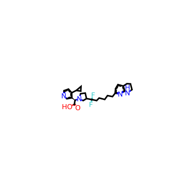 O=C(O)[C@@H](c1cnccc1C1CC1)N1CCC(C(F)(F)CCCCCc2ccc3c(n2)NCCC3)C1